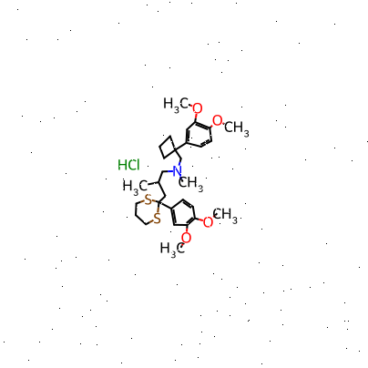 COc1ccc(C2(CN(C)CC(C)CC3(c4ccc(OC)c(OC)c4)SCCCS3)CCC2)cc1OC.Cl